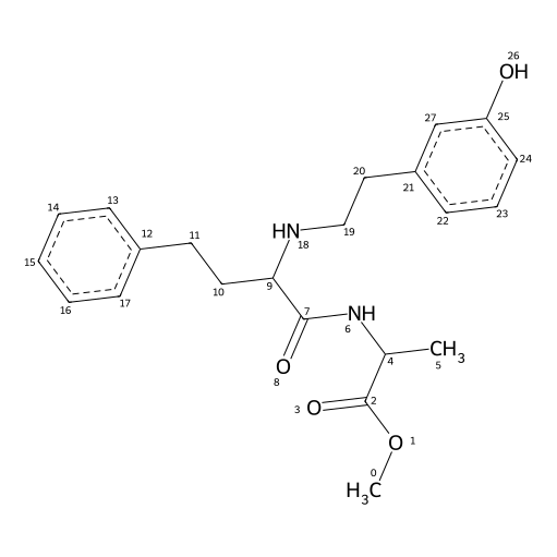 COC(=O)C(C)NC(=O)C(CCc1ccccc1)NCCc1cccc(O)c1